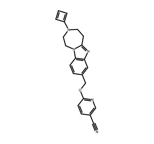 N#Cc1ccc(OCc2ccc3c(c2)nc2n3CCN(C3=CC=C3)CC2)nc1